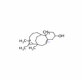 CC1=P2(C)CCCC3CCC(C)(C/C=C4/CC(O)CCC43C)C12